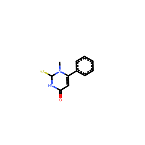 CN1C(c2ccccc2)=CC(=O)NC1S